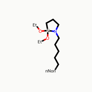 CCCCCCCCCCCCCCN1CCC[Si]1(OCC)OCC